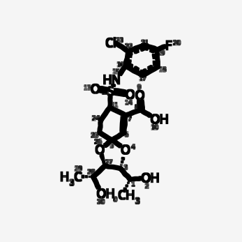 C[C@@H](O)[C@H]1OC2(C=C(C(=O)O)C(S(=O)(=O)Nc3ccc(F)cc3Cl)CC2)O[C@@H]1[C@@H](C)O